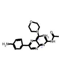 C=C(/N=C1/N=CC(c2ccc(N)cc2)=N/C1=C(/N)N1CCOCC1)NC(C)=O